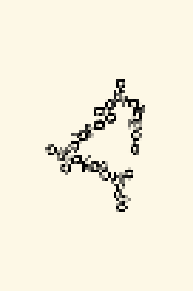 c1ccc(-c2ccc(-c3nc4cc5c(cc4s3)oc3ccc(-c4nc(-c6ccccc6)nc(-c6ccc(-c7ccccc7)c(-c7cccc(-c8ccc(-c9nc%10cc%11c(cc%10s9)oc9cc(-c%10nc(-c%12ccccc%12)nc(-c%12ccccc%12-c%12cccc(-c%13nc%14cc%15c(cc%14s%13)oc%13cc(-c%14nc(-c%16ccccc%16)nc(-c%16ccc%17c(c%16)oc%16ccccc%16%17)n%14)ccc%13%15)c%12)n%10)ccc9%11)cc8)c7)c6)n4)cc35)cc2)cc1